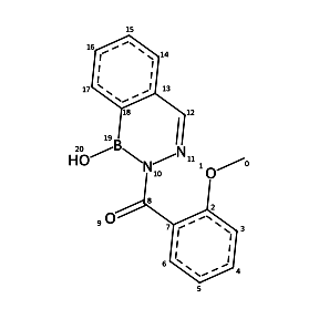 COc1ccccc1C(=O)N1N=Cc2ccccc2B1O